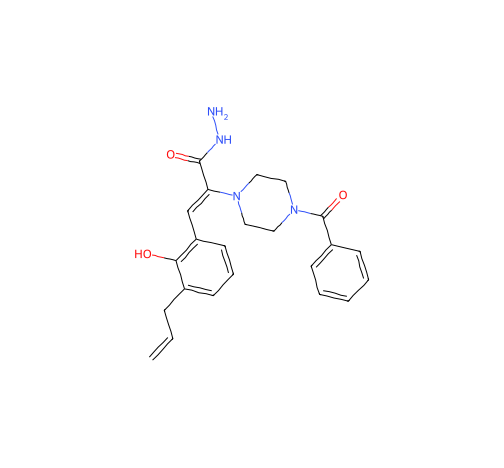 C=CCc1cccc(C=C(C(=O)NN)N2CCN(C(=O)c3ccccc3)CC2)c1O